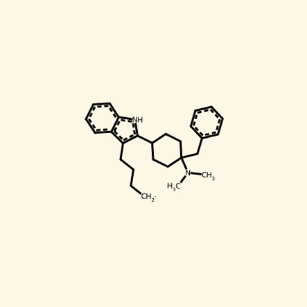 [CH2]CCCc1c(C2CCC(Cc3ccccc3)(N(C)C)CC2)[nH]c2ccccc12